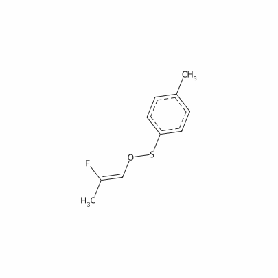 C/C(F)=C/OSc1ccc(C)cc1